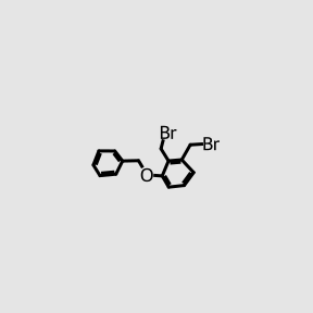 BrCc1cccc(OCc2ccccc2)c1CBr